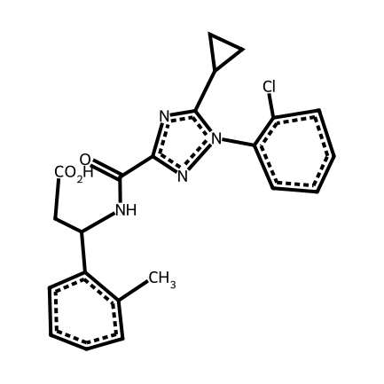 Cc1ccccc1C(CC(=O)O)NC(=O)c1nc(C2CC2)n(-c2ccccc2Cl)n1